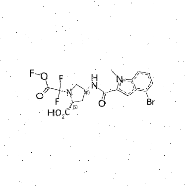 Cn1c(C(=O)N[C@@H]2C[C@@H](C(=O)O)N(C(F)(F)C(=O)OF)C2)cc2c(Br)cccc21